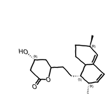 C[C@H]1C=C2C=C[C@H](C)[C@H](CCC3C[C@@H](O)CC(=O)O3)C2CC1